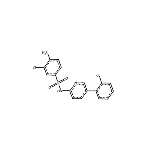 Cc1ccc(S(=O)(=O)Nc2ccc(-c3ccccc3Cl)cn2)cc1Cl